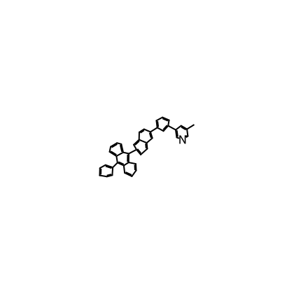 Cc1cncc(-c2cccc(-c3ccc4cc(-c5c6ccccc6c(-c6ccccc6)c6ccccc56)ccc4c3)c2)c1